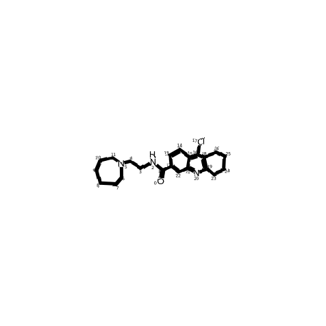 O=C(NCCN1CCCCCC1)c1ccc2c(Cl)c3c(nc2c1)CCCC3